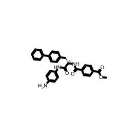 COC(=O)c1ccc(C(=O)N[C@@H](Cc2ccc(-c3ccccc3)cc2)C(=O)Nc2ccc(N)cc2)cc1